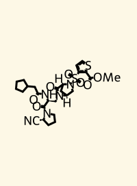 COC(=O)c1sccc1S(=O)(=O)N1C[C@@H]2C[C@H]1C(=O)N2C[C@H](NC(=O)CC1CCCC1)C(=O)N1CCC[C@H]1C#N